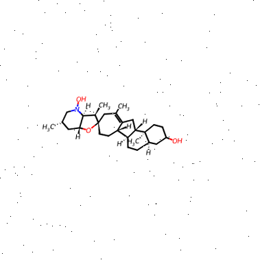 CC1=C2C[C@H]3[C@@H](CC[C@@H]4CC(O)CC[C@@]43C)[C@@H]2CC[C@@]2(C1)O[C@@H]1C[C@H](C)CN(O)[C@H]1[C@H]2C